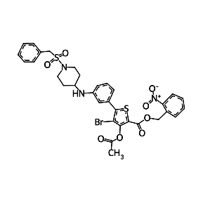 CC(=O)Oc1c(C(=O)OCc2ccccc2[N+](=O)[O-])sc(-c2cccc(NC3CCN(S(=O)(=O)Cc4ccccc4)CC3)c2)c1Br